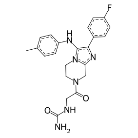 Cc1ccc(Nc2c(-c3ccc(F)cc3)nc3n2CCN(C(=O)CNC(N)=O)C3)cc1